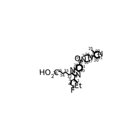 CC/C=C(\C=C/CF)c1nc2ccc(C(=O)N3CCN(c4ccncc4C)CC3)cc2nc1CCCCC(=O)O